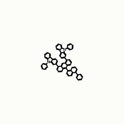 c1ccc(-c2cccc3c(-c4c5cccc(-c6ccc7c8ccccc8n(-c8ccccc8)c7c6)c5cc5c(-c6ccc7c8ccccc8n(-c8ccccc8)c7c6)cccc45)cccc23)cc1